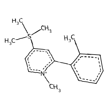 Cc1ccccc1-c1cc(S(C)(C)C)cc[n+]1C